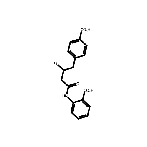 CCC(CC(=O)Nc1ccccc1C(=O)O)Cc1ccc(C(=O)O)cc1